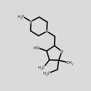 CCC1(C)OC(CN2CCN(P)CC2)C(O)C1C